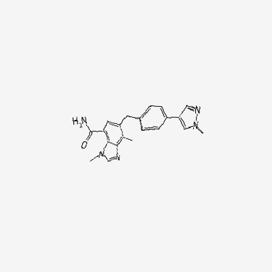 Cc1c(Cc2ccc(-c3cnn(C)c3)cc2)cc(C(N)=O)c2c1ncn2C